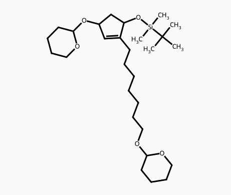 CC(C)(C)[Si](C)(C)OC1CC(OC2CCCCO2)C=C1CCCCCCCOC1CCCCO1